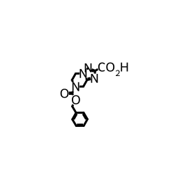 O=C(O)c1nc2n(n1)CCN(C(=O)OCc1ccccc1)C2